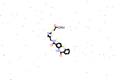 COC(=O)CSc1ncc(CNC(=O)c2ccc3c(c2)NC(=O)c2ccccc2S3)s1